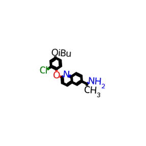 CC(C)COc1ccc(Oc2ccc3cc(C(C)N)ccc3n2)c(Cl)c1